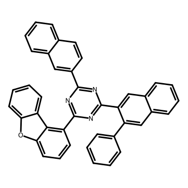 c1ccc(-c2cc3ccccc3cc2-c2nc(-c3ccc4ccccc4c3)nc(-c3cccc4oc5ccccc5c34)n2)cc1